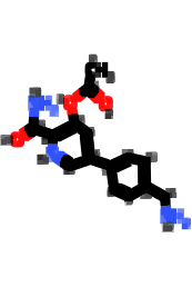 CC(=O)Oc1cc(-c2ccc(CN)cc2)cnc1C(N)=O